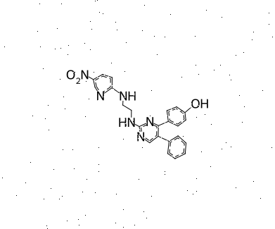 O=[N+]([O-])c1ccc(NCCNc2ncc(-c3ccccc3)c(-c3ccc(O)cc3)n2)nc1